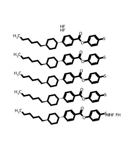 CCCCCC[C@H]1CC[C@H](c2ccc(C(=O)Oc3ccc([S])cc3)cc2)CC1.CCCCCC[C@H]1CC[C@H](c2ccc(C(=O)Oc3ccc([S])cc3)cc2)CC1.CCCCCC[C@H]1CC[C@H](c2ccc(C(=O)Oc3ccc([S])cc3)cc2)CC1.CCCCCC[C@H]1CC[C@H](c2ccc(C(=O)Oc3ccc([S])cc3)cc2)CC1.CCCCCC[C@H]1CC[C@H](c2ccc(C(=O)Oc3ccc([S])cc3)cc2)CC1.F.F.F.F.F